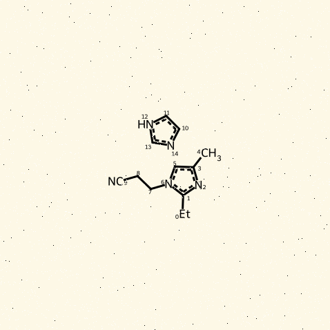 CCc1nc(C)cn1CCC#N.c1c[nH]cn1